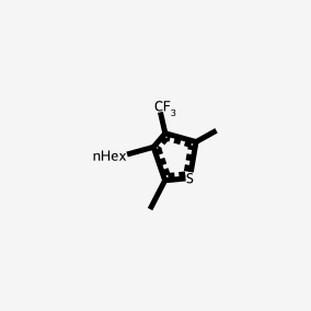 CCCCCCc1c(C)sc(C)c1C(F)(F)F